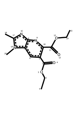 CCOC(=O)c1cc2c(nc1C(=O)OCC)nc(C)n2C